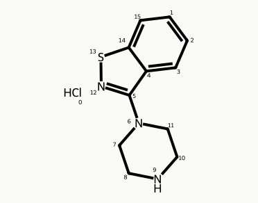 Cl.c1ccc2c(N3CCNCC3)nsc2c1